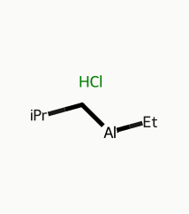 C[CH2][Al][CH2]C(C)C.Cl